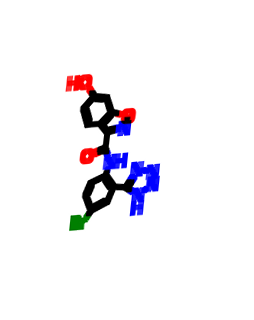 O=C(Nc1ccc(Br)cc1-c1nnn[nH]1)c1noc2cc(O)ccc12